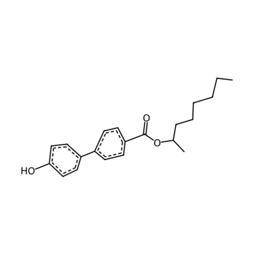 CCCCCCC(C)OC(=O)c1ccc(-c2ccc(O)cc2)cc1